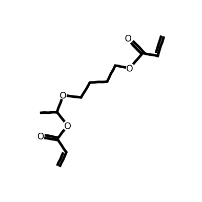 C=CC(=O)OCCCCOC(C)OC(=O)C=C